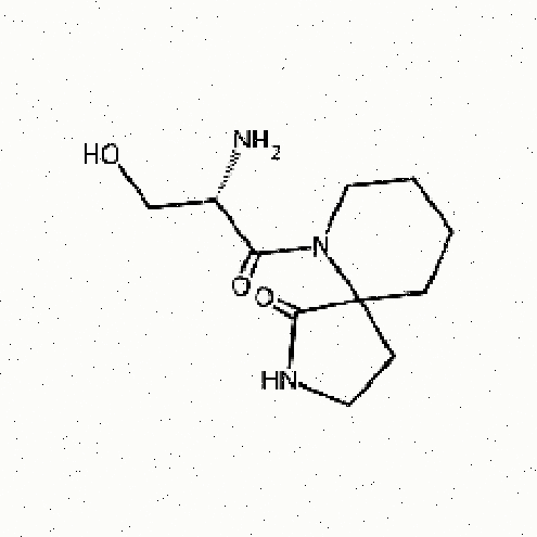 N[C@@H](CO)C(=O)N1CCCCC12CCNC2=O